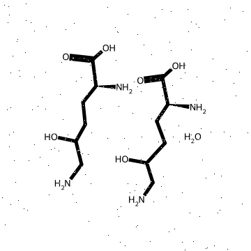 NCC(O)CC[C@H](N)C(=O)O.NCC(O)CC[C@H](N)C(=O)O.O